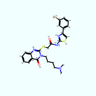 CN(C)CCCCn1c(SCC(=O)Nc2nc(-c3cccc(Br)c3)cs2)nc2ccccc2c1=O